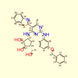 Cc1nc(Nc2cccc(OCc3ccccc3)c2)nc(N[C@@H]2C[C@H](CO)[C@@H](O)[C@H]2O)c1-c1nc2ccccc2s1